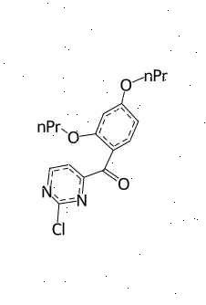 CCCOc1ccc(C(=O)c2ccnc(Cl)n2)c(OCCC)c1